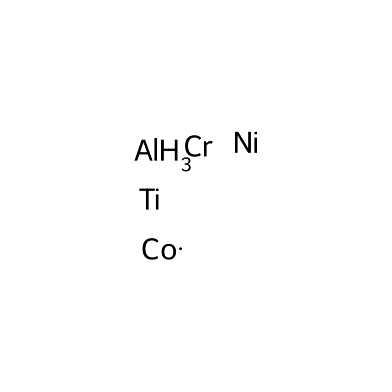 [AlH3].[Co].[Cr].[Ni].[Ti]